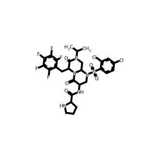 CC(C)N1CC2N(C(=O)C(NC(=O)C3CCCN3)CN2S(=O)(=O)c2ccc(Cl)cc2Cl)C(Cc2c(F)c(F)c(F)c(F)c2F)C1=O